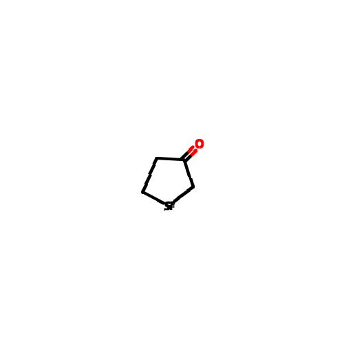 O=C1CC[Si]C1